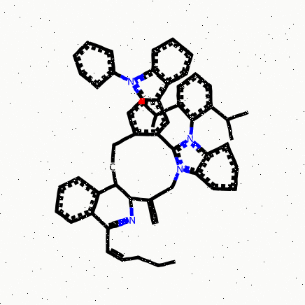 C=C1C[n+]2c(n(-c3c(C(C)C)cccc3C(C)C)c3ccccc32)-c2cc3c4ccccc4n(-c4ccccc4)c3cc2CCC2c3ccccc3C(/C=C\CCC)=NC12